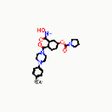 CC(C)(C)c1ccc(N2CCN(C(=O)C3CCC(OC(=O)N4CCCC4)CC3C(=O)NO)CC2)cc1